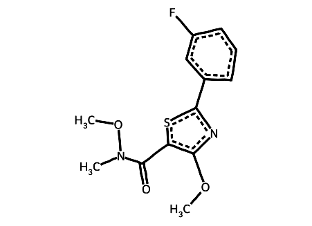 COc1nc(-c2cccc(F)c2)sc1C(=O)N(C)OC